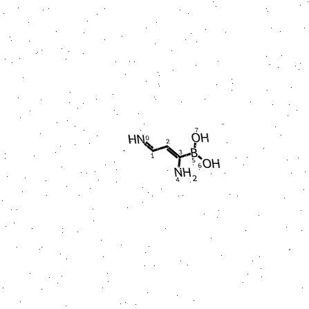 N=C/C=C(\N)B(O)O